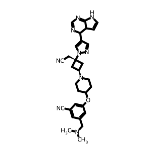 CN(C)Cc1cc(C#N)cc(OC2CCN([C@H]3C[C@](CC#N)(n4cc(C5N=CN=C6NC=CC65)cn4)C3)CC2)c1